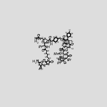 CC[C@H](C)[C@@H]([C@@H](CC(=O)N1C[C@@H](O)C[C@H]1[C@H](OC)[C@@H](C)C(=O)N[C@H](C)C(NC(=O)OCc1ccc(NC(=O)[C@H](CCCNC(N)=O)NC(=O)[C@@H](NC(=O)CCCCCN2C(=O)CC(SCC3(CC(N)=O)CC3)C2=O)C(C)C)cc1)c1ccc(C)cc1)OC)N(C)C(=O)[C@@H](NC(=O)[C@H](C(C)C)N(C)C)C(C)C